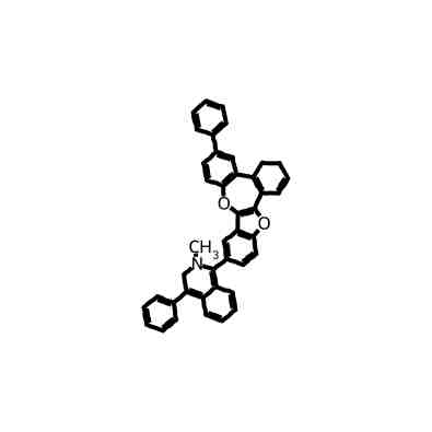 CN1CC(c2ccccc2)=c2ccccc2=C1c1ccc2oc3c(c2c1)Oc1ccc(-c2ccccc2)cc1C1=C3C=CCC1